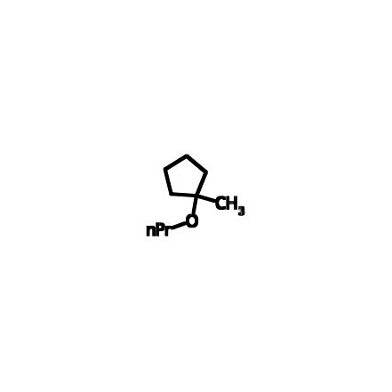 CCCOC1(C)CCCC1